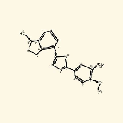 CC(C)Oc1ccc(-c2nnc(-c3cccc4c3CCC4O)s2)cc1C#N